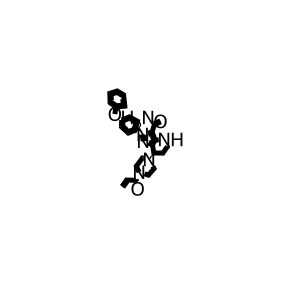 C=CC(=O)N1CCN([C@H]2CCNc3c2nn(-c2ccc(Oc4ccccc4)cc2)c3C(N)=O)CC1